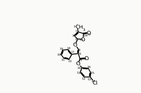 CC1=CC(O/C=C(/C(=O)Oc2ccc(Cl)cc2)c2ccccc2)OC1=O